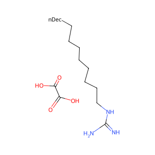 CCCCCCCCCCCCCCCCCCNC(=N)N.O=C(O)C(=O)O